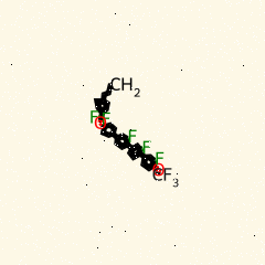 C=CCCc1ccc(C(F)(F)OC2CCC(c3ccc(-c4ccc(-c5ccc(OC(F)(F)F)c(F)c5)c(F)c4)c(F)c3)CC2)cc1